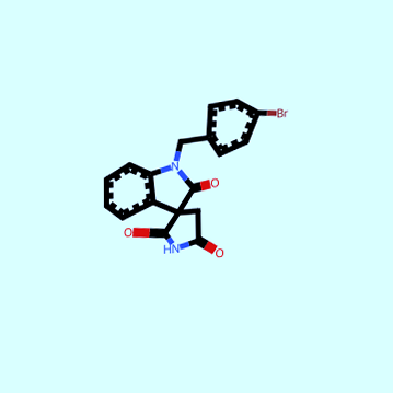 O=C1CC2(C(=O)N1)C(=O)N(Cc1ccc(Br)cc1)c1ccccc12